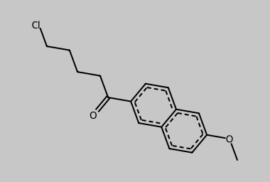 COc1ccc2cc(C(=O)CCCCCl)ccc2c1